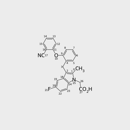 Cc1c(Cc2ccccc2Oc2ccccc2C#N)c2cc(F)ccc2n1CC(=O)O